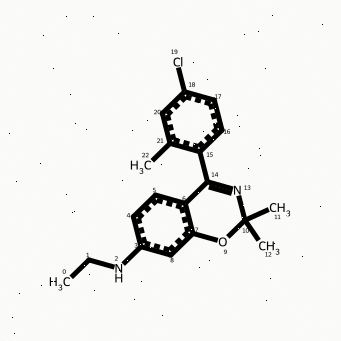 CCNc1ccc2c(c1)OC(C)(C)N=C2c1ccc(Cl)cc1C